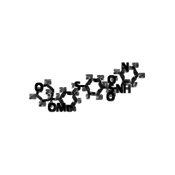 COC1(c2cccc(Sc3ccc(S(=O)(=O)Nc4cccnc4)cc3)c2)CCOCC1